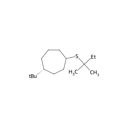 CCC(C)(C)SC1CCC[C@@H](C(C)(C)C)CC1